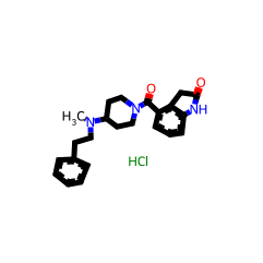 CN(CCc1ccccc1)C1CCN(C(=O)c2cccc3c2CC(=O)N3)CC1.Cl